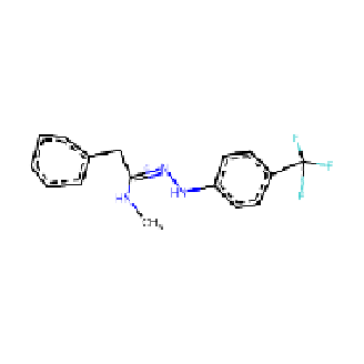 CN/C(Cc1ccccc1)=N\Nc1ccc(C(F)(F)F)cc1